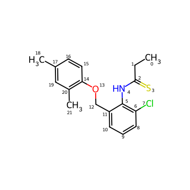 CCC(=S)Nc1c(Cl)cccc1COc1ccc(C)cc1C